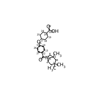 CC1(C)CC2CC(C)(CN2C(=O)c2ccc(OC3CCC(C(=O)O)CC3)cc2)C1